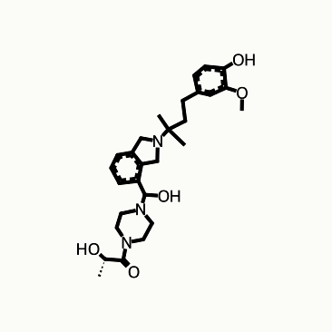 COc1cc(CCC(C)(C)N2Cc3cccc(C(O)N4CCN(C(=O)[C@H](C)O)CC4)c3C2)ccc1O